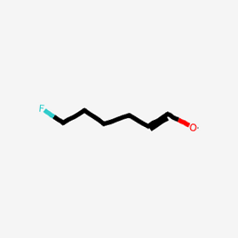 [O]C=CCCCCF